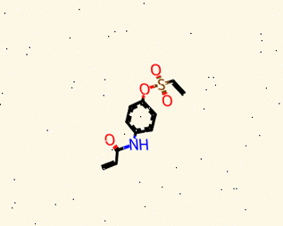 C=CC(=O)Nc1ccc(OS(=O)(=O)C=C)cc1